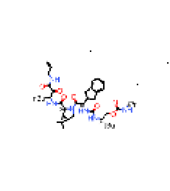 C=CCNC(=O)C(=O)C(CCCC)NC(=O)[C@@H]1C2C(CN1C(=O)[C@@H](NC(=O)N[C@H](COC(=O)NC(C)C)C(C)(C)C)C1Cc3ccccc3C1)C2(C)C